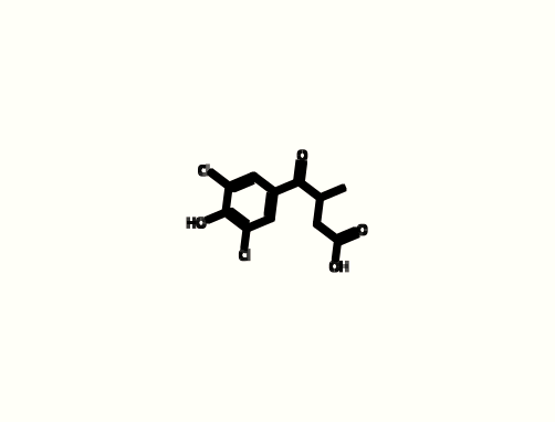 CC(CC(=O)O)C(=O)c1cc(Cl)c(O)c(Cl)c1